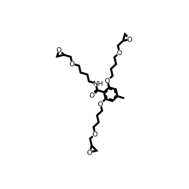 Cc1cc(OCCCCOCC2CO2)c(C(=O)NCCCCOCC2CO2)c(OCCCCOCC2CO2)c1